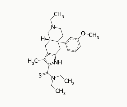 CCN1CC[C@@]2(c3cccc(OC)c3)Cc3[nH]c(C(=S)N(CC)CC)c(C)c3C[C@@H]2C1